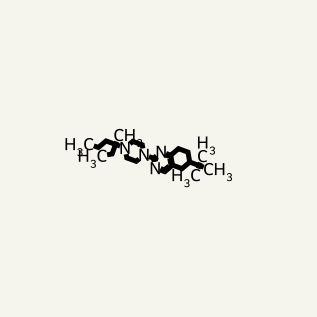 CCCC(C)(CC)N1CCN(c2ncc3c(n2)CCC(C(C)(C)C)C3)CC1